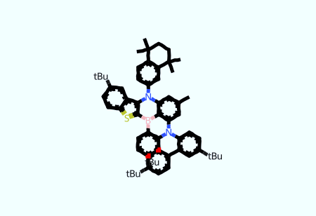 Cc1cc2c3c(c1)N(c1ccc4c(c1)C(C)(C)CCC4(C)C)c1c(sc4ccc(C(C)(C)C)cc14)B3c1ccc(C(C)(C)C)cc1N2c1ccc(C(C)(C)C)cc1-c1ccc(C(C)(C)C)cc1